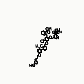 Cc1c(COc2cc(OCc3cncc(S(C)(=O)=O)c3)c(CN3CCCC[C@H]3C(=O)O)cc2Cl)cccc1-c1cccc(OCCCN2CC[C@@H](O)C2)c1